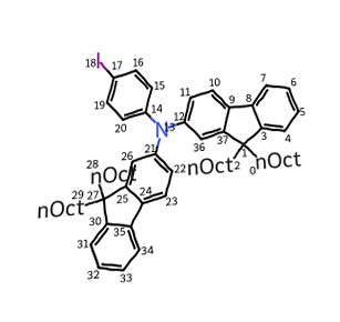 CCCCCCCCC1(CCCCCCCC)c2ccccc2-c2ccc(N(c3ccc(I)cc3)c3ccc4c(c3)C(CCCCCCCC)(CCCCCCCC)c3ccccc3-4)cc21